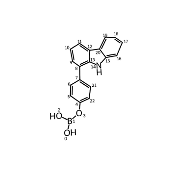 OB(O)Oc1ccc(-c2cccc3c2[nH]c2ccccc23)cc1